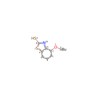 CCCCOc1cccc2sc(S)nc12